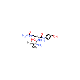 CC(C)[C@H](N)C(O)N[C@@H](CCCNC(N)=O)C(=O)Nc1ccc(CO)cc1